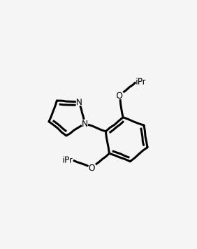 CC(C)Oc1cccc(OC(C)C)c1-n1cccn1